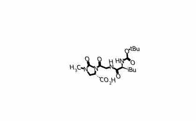 CC[C@H](C)[C@H](NC(=O)OC(C)(C)C)C(=O)NCC(=O)N1C(=O)N(C)C[C@H]1C(=O)O